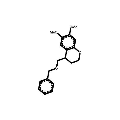 COc1cc2c(cc1OC)C(COCc1ccccc1)CCO2